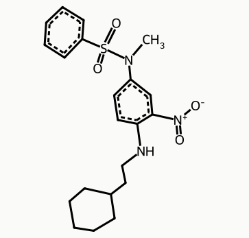 CN(c1ccc(NCCC2CCCCC2)c([N+](=O)[O-])c1)S(=O)(=O)c1ccccc1